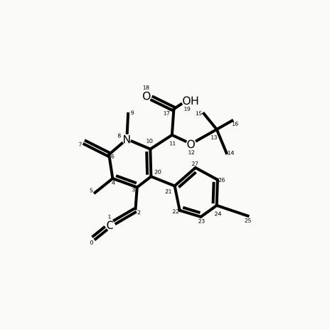 C=C=CC1=C(C)C(=C)N(C)C(C(OC(C)(C)C)C(=O)O)=C1c1ccc(C)cc1